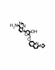 Nc1ncnc2c1ccn2[C@H]1C[C@H](O)[C@@H](COc2ccc3ccc(N4CCC4)nc3c2)O1